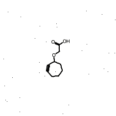 O=C(O)COC1C#CCCCC1